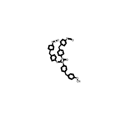 N#COc1ccc(Cc2ccc(N3C(=O)N(c4ccc(Cc5ccc(N=C=O)cc5)cc4)C3=Nc3ccc(Cc4ccc(N=C=O)cc4)cc3)cc2)cc1